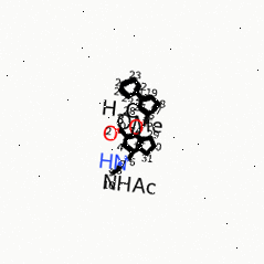 COC(=O)c1cc(CNCCNC(C)=O)c2c(c1OCc1cccc(-c3ccccc3)c1C)CCC2